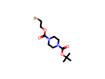 CC(C)(C)OC(=O)N1CCN(C(=O)OCCBr)CC1